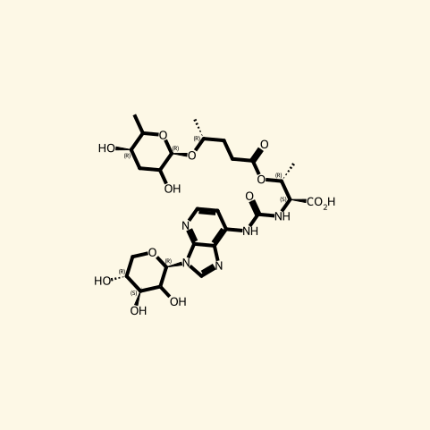 CC1O[C@@H](O[C@H](C)CCC(=O)O[C@H](C)[C@H](NC(=O)Nc2ccnc3c2ncn3[C@@H]2OC[C@@H](O)[C@H](O)C2O)C(=O)O)C(O)C[C@H]1O